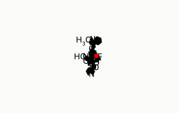 Cc1cc(COc2ccc(N(C(=O)C(F)(F)F)C3(CC(=O)NO)CCN(C(=O)c4cccnc4)C3)cc2)c2ccccc2n1